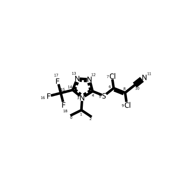 CC(C)n1c(SC(Cl)=C(Cl)C#N)nnc1C(F)(F)F